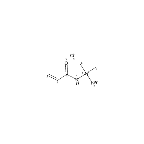 C=CC(=O)N[N+](C)(C)CCC.[Cl-]